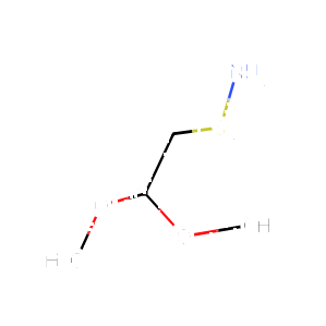 COC(CSN)OC